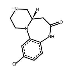 O=C1C[C@H]2CNCCN2c2cc(Cl)ccc2N1